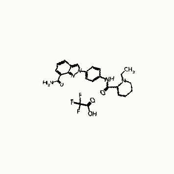 CCN1CCCCC1C(=O)Nc1ccc(-n2cc3cccc(C(N)=O)c3n2)cc1.O=C(O)C(F)(F)F